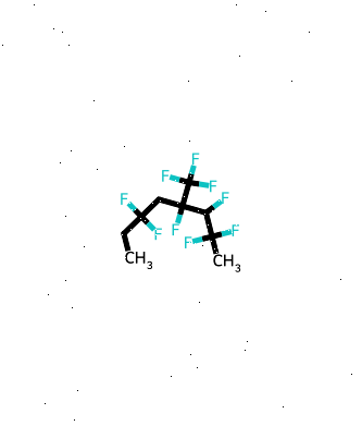 CCC(F)(F)CC(F)(C(F)C(C)(F)F)C(F)(F)F